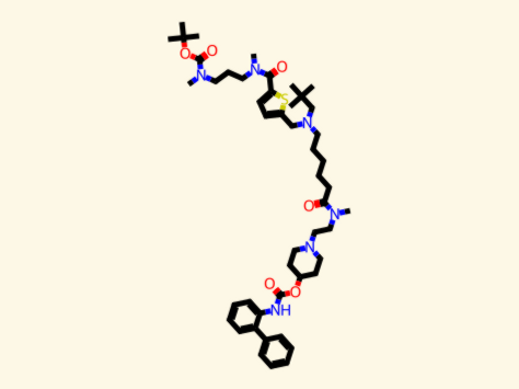 CN(CCN1CCC(OC(=O)Nc2ccccc2-c2ccccc2)CC1)C(=O)CCCCCN(Cc1ccc(C(=O)N(C)CCCN(C)C(=O)OC(C)(C)C)s1)CC(C)(C)C